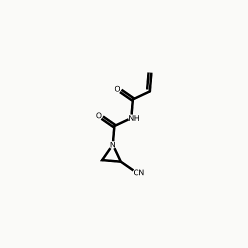 C=CC(=O)NC(=O)N1CC1C#N